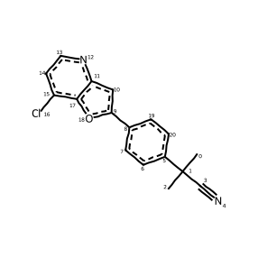 CC(C)(C#N)c1ccc(-c2cc3nccc(Cl)c3o2)cc1